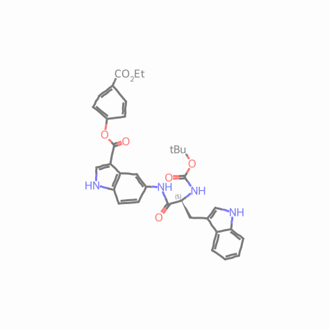 CCOC(=O)c1ccc(OC(=O)c2c[nH]c3ccc(NC(=O)[C@H](Cc4c[nH]c5ccccc45)NC(=O)OC(C)(C)C)cc23)cc1